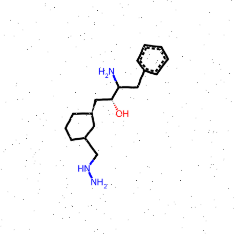 NNCC1CCC[C@@H](C[C@@H](O)C(N)Cc2ccccc2)C1